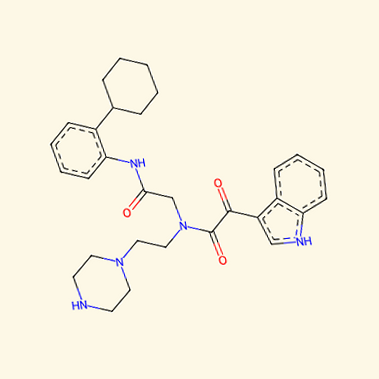 O=C(CN(CCN1CCNCC1)C(=O)C(=O)c1c[nH]c2ccccc12)Nc1ccccc1C1CCCCC1